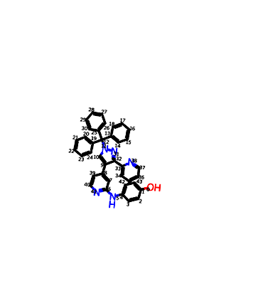 Oc1ccc(Nc2cc(-c3cn(C(c4ccccc4)(c4ccccc4)c4ccccc4)nc3-c3ccccn3)ccn2)cc1